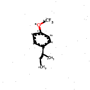 C/C=C(\C)c1ccc(OC(F)(F)F)cc1